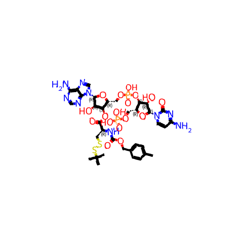 Cc1ccc(COC(=O)N[C@@H](CSSC(C)(C)C)C(=O)O[C@H]2[C@@H](O)[C@H](n3cnc4c(N)ncnc43)O[C@@H]2COP(=O)(O)O[C@H]2[C@@H](O)[C@H](n3ccc(N)nc3=O)O[C@@H]2COP(=O)(O)O)cc1